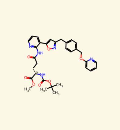 COC(=O)[C@H](CCC(=O)Nc1ncccc1-c1cc(Cc2ccc(COc3ccccn3)cc2)no1)NC(=O)OC(C)(C)C